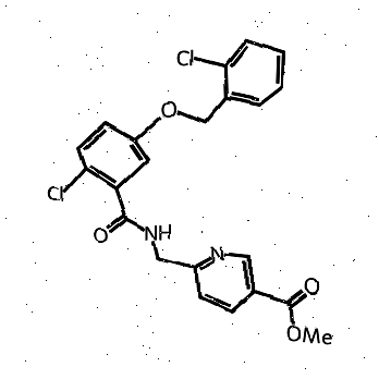 COC(=O)c1ccc(CNC(=O)c2cc(OCc3ccccc3Cl)ccc2Cl)nc1